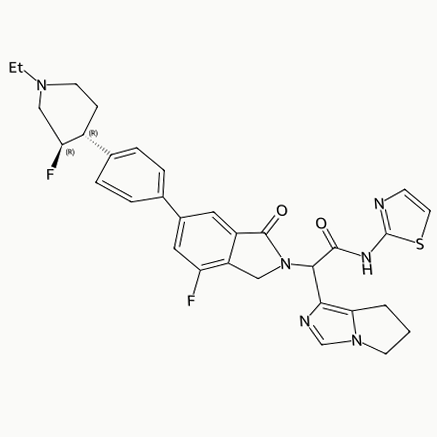 CCN1CC[C@H](c2ccc(-c3cc(F)c4c(c3)C(=O)N(C(C(=O)Nc3nccs3)c3ncn5c3CCC5)C4)cc2)[C@@H](F)C1